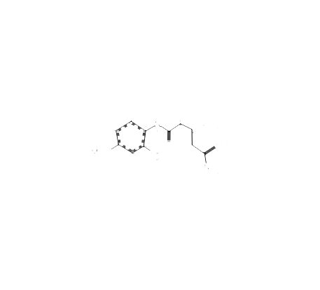 COc1ccc(NC(=O)[CH][C@H](C)CC(N)=O)c(O)c1